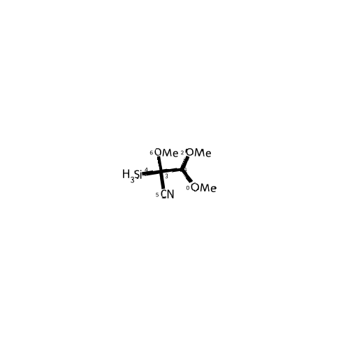 COC(OC)C([SiH3])(C#N)OC